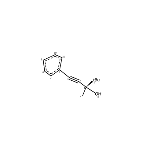 CC(C)(C)[C@](C)(O)C#Cc1ccccc1